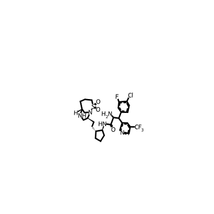 NC(C(=O)N[C@H]1CCC[C@@H]1CC[C@H]1CN[C@@H]2CCCS(=O)(=O)N1C2)C(c1cncc(C(F)(F)F)c1)c1ccc(Cl)c(F)c1